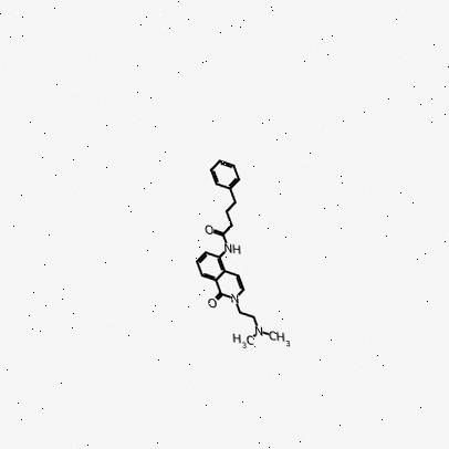 CN(C)CCn1ccc2c(NC(=O)CCCc3ccccc3)cccc2c1=O